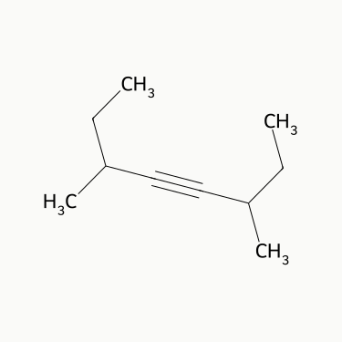 CCC(C)C#CC(C)CC